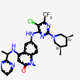 CC(Nc1cc(=O)n(C)c2ccc(Nc3nc(N4C[C@H](C)C[C@H](C)C4)nc(C(F)(F)F)c3Cl)cc12)c1ncccn1